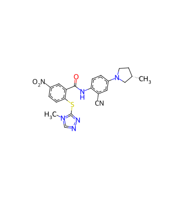 C[C@H]1CCN(c2ccc(NC(=O)c3cc([N+](=O)[O-])ccc3Sc3nncn3C)c(C#N)c2)C1